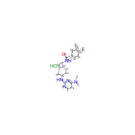 CN(C)c1ccnc(NC2CCC(CNC(=O)c3ccc(F)c(F)c3)CC2)n1.Cl